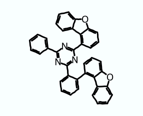 c1ccc(-c2nc(-c3ccccc3-c3cccc4oc5ccccc5c34)nc(-c3cccc4oc5ccccc5c34)n2)cc1